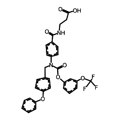 O=C(O)CCNC(=O)c1ccc(N(Cc2ccc(Oc3ccccc3)cc2)C(=O)Oc2cccc(OC(F)(F)F)c2)cc1